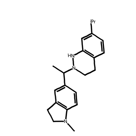 CC(C)c1ccc2c(c1)NN(C(C)c1ccc3c(c1)CCN3C)CC2